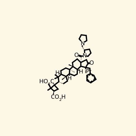 CC(C)C1(Cc2ccccc2)C(=O)C[C@]2(C(=O)N3CCC[C@H]3CN3CCCC3)CC[C@]3(C)[C@@H](CC[C@@H]4[C@]5(C)CC[C@H]([C@@]6(C(=O)O)C[C@@H](C(=O)O)C6(C)C)C(C)(C)[C@H]5CC[C@]43C)C12